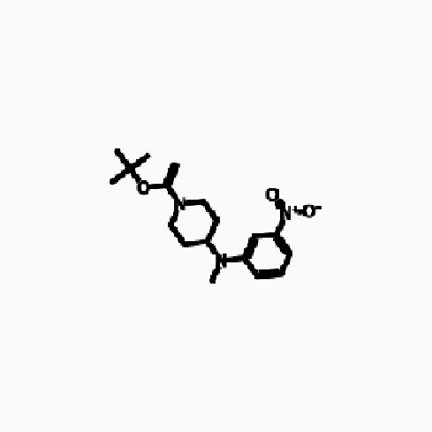 C=C(OC(C)(C)C)N1CCC(N(C)c2cccc([N+](=O)[O-])c2)CC1